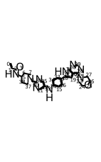 C=CC(=O)NC1CCN(c2ncc(Nc3ccc(-c4cc5c(N6CCOCC6)ncnc5[nH]4)cc3)cn2)CC1